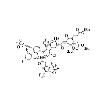 CC(C)(C)OC(=O)CCN(C(=O)/C=C/C(=O)N(Cc1nn(CC(F)(F)F)c2c(-c3ccc(C#CC(C)(C)S(C)(=O)=O)nc3[C@H](Cc3cc(F)cc(F)c3)NC(=O)Cn3nc(C(F)(F)F)c4c3C(F)(F)[C@@H]3C[C@H]43)ccc(Cl)c12)[SH](=O)=O)[C@@H](CC(=O)OC(C)(C)C)C(=O)OC(C)(C)C